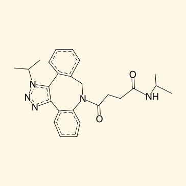 CC(C)NC(=O)CCC(=O)N1Cc2ccccc2-c2c(nnn2C(C)C)-c2ccccc21